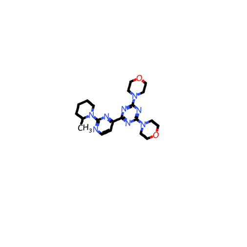 CC1CCCCN1c1nccc(-c2nc(N3CCOCC3)nc(N3CCOCC3)n2)n1